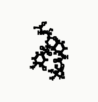 CC(=O)N[C@H](C)C1CN(S(=O)(=O)c2ccc(F)c(Cl)c2)c2cc(NC(=O)OC(C)(C)C(F)(F)F)ccc2O1